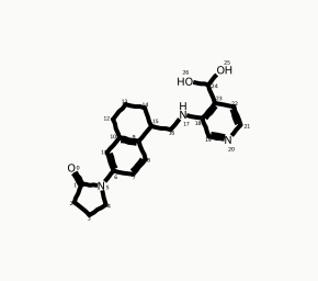 O=C1CCCN1c1ccc2c(c1)CCCC2CNc1cnccc1C(O)O